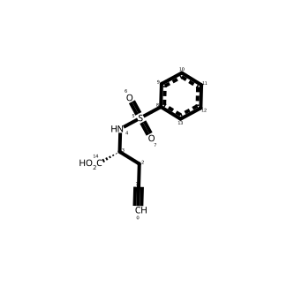 C#CC[C@@H](NS(=O)(=O)c1ccccc1)C(=O)O